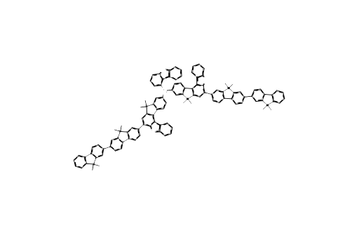 CC1(C)c2ccccc2-c2ccc(-c3ccc4c(c3)C(C)(C)c3cc(-c5cc6c(c7c5oc5ccccc57)-c5ccc(N(c7ccc8c(c7)C(C)(C)c7cc(-c9ccc%10c(c9)C(C)(C)c9cc(-c%11ccc%12c(c%11)C(C)(C)c%11ccccc%11-%12)ccc9-%10)c9oc%10ccccc%10c9c7-8)c7cccc8oc9ccccc9c78)cc5C6(C)C)ccc3-4)cc21